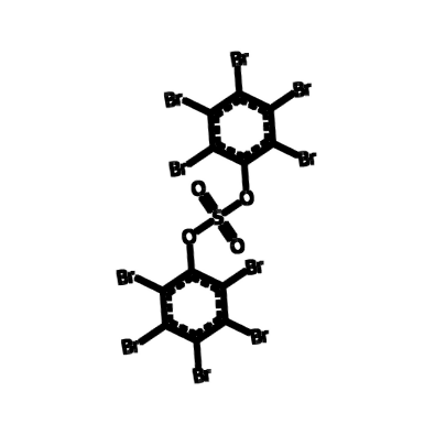 O=S(=O)(Oc1c(Br)c(Br)c(Br)c(Br)c1Br)Oc1c(Br)c(Br)c(Br)c(Br)c1Br